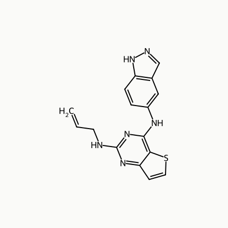 C=CCNc1nc(Nc2ccc3[nH]ncc3c2)c2sccc2n1